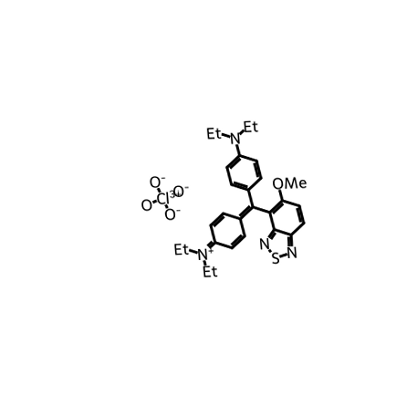 CCN(CC)c1ccc(C(=C2C=CC(=[N+](CC)CC)C=C2)c2c(OC)ccc3nsnc23)cc1.[O-][Cl+3]([O-])([O-])[O-]